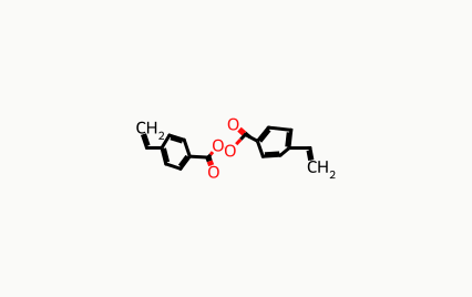 C=Cc1ccc(C(=O)OOC(=O)c2ccc(C=C)cc2)cc1